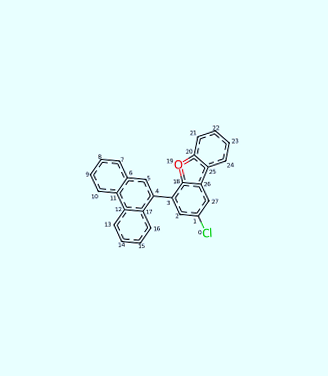 Clc1cc(-c2cc3ccccc3c3ccccc23)c2oc3ccccc3c2c1